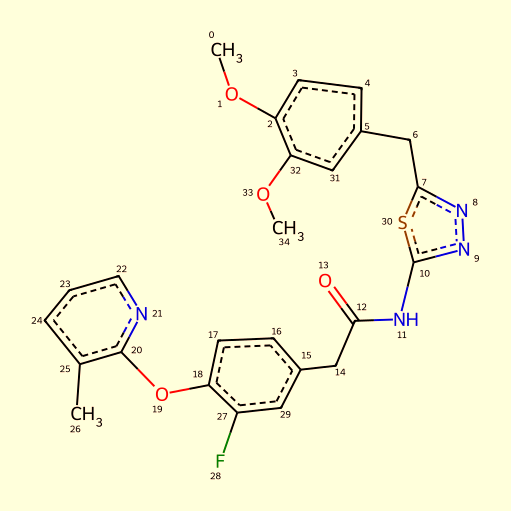 COc1ccc(Cc2nnc(NC(=O)Cc3ccc(Oc4ncccc4C)c(F)c3)s2)cc1OC